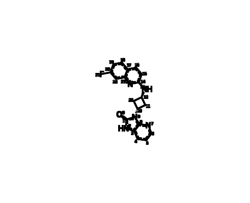 O=c1[nH]c2cccnc2n1[C@H]1C[C@H](Nc2ccc3ccc(F)cc3n2)C1